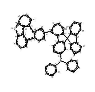 c1ccc(N(c2ccccc2)c2ccc3c(c2)C2(c4ccccc4-c4ccccc42)c2cccc(-c4ccc5c(c4)c4cccc6oc7cccc5c7c64)c2-3)cc1